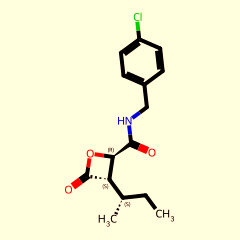 CC[C@H](C)[C@@H]1C(=O)O[C@H]1C(=O)NCc1ccc(Cl)cc1